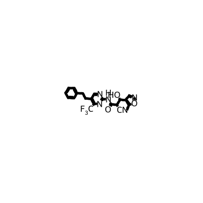 Cc1oncc1C(O)C(C#N)C(=O)Nc1ncc(CCc2ccccc2)c(C(F)(F)F)n1